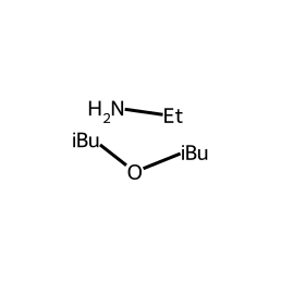 CCC(C)OC(C)CC.CCN